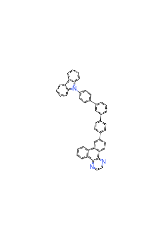 c1cc(-c2ccc(-c3ccc4c(c3)c3ccccc3c3nccnc43)cc2)cc(-c2ccc(-n3c4ccccc4c4ccccc43)cc2)c1